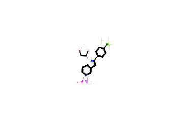 O=[N+]([O-])c1ccc2c(c1)cc(-c1ccc(C(F)(F)F)cc1)n2[C@@H]1CCOC1